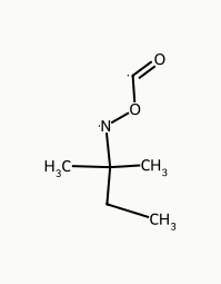 CCC(C)(C)[N]O[C]=O